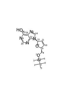 CC(C)(C)[Si](C)(C)OC[C@@H]1C=C[C@H](n2cnc3c(O)ncnc32)O1